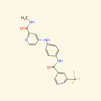 CNC(=O)c1cc(Nc2ccc(NC(=O)c3cccc(C(F)(F)F)c3)cc2)ccn1